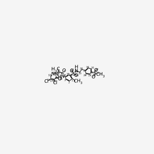 Cc1ccc(NC(=O)[C@@H](C)n2ncc(Cl)c(Cl)c2=O)cc1S(=O)(=O)NCCc1ccc(S(C)(=O)=O)cc1